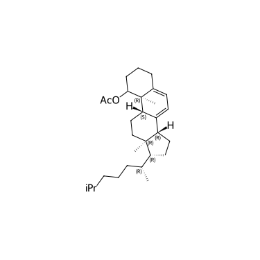 CC(=O)OC1CCCC2=CC=C3[C@@H]4CC[C@H]([C@H](C)CCCC(C)C)[C@@]4(C)CC[C@@H]3[C@]21C